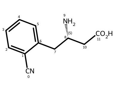 N#Cc1ccccc1C[C@H](N)CC(=O)O